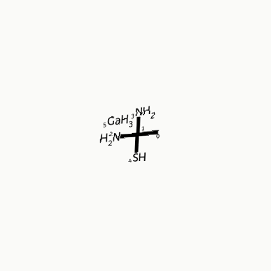 CC(N)(N)S.[GaH3]